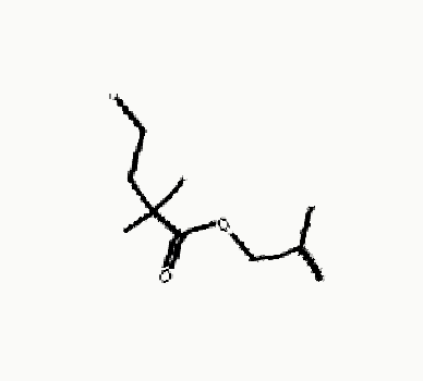 [CH2]CCC(C)(C)C(=O)OCC(C)C